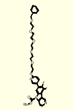 CC(C)(C)OC(=O)n1c2ccncc2c2c(F)c(F)c(-c3ccc(OCCOCCOCCOCCOCCOCc4ccccc4)nc3)cc21